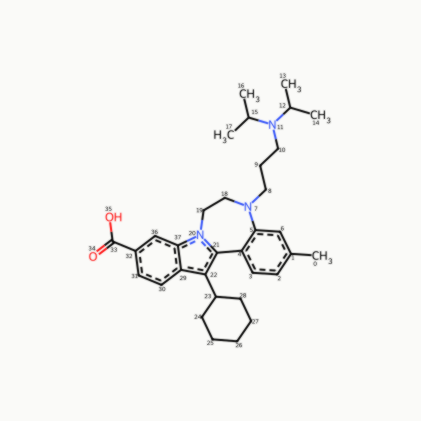 Cc1ccc2c(c1)N(CCCN(C(C)C)C(C)C)CCn1c-2c(C2CCCCC2)c2ccc(C(=O)O)cc21